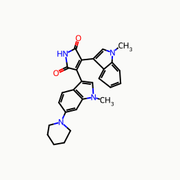 Cn1cc(C2=C(c3cn(C)c4cc(N5CCCCC5)ccc34)C(=O)NC2=O)c2ccccc21